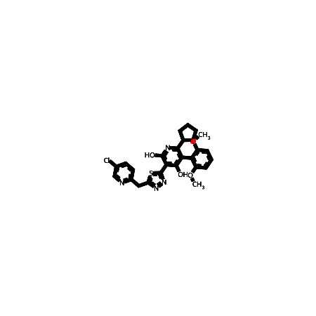 COc1cccc(OC)c1-c1c(C2CCCC2)nc(O)c(-c2nnc(Cc3ccc(Cl)cn3)s2)c1O